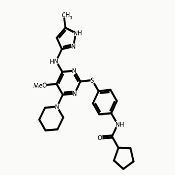 COc1c(Nc2cc(C)[nH]n2)nc(Sc2ccc(NC(=O)C3CCCC3)cc2)nc1N1CCCCC1